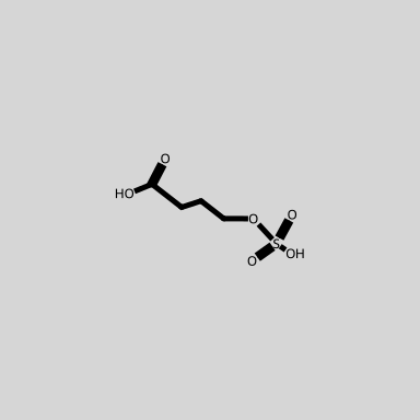 O=C(O)CCCOS(=O)(=O)O